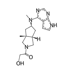 CN(c1ncnc2[nH]ccc12)[C@H]1C[C@@H]2CN(C(=O)CO)C[C@]2(C)C1